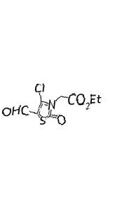 CCOC(=O)Cn1c(Cl)c(C=O)sc1=O